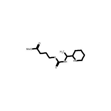 COC(=O)CCCSC(=S)NC(C)C1CCCCN1